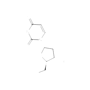 O=c1ccn([C@@H]2C[C@H](O)[C@@H](CO)O2)c(=S)[nH]1